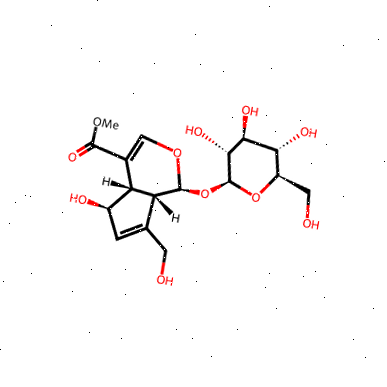 COC(=O)C1=CO[C@@H](O[C@@H]2O[C@H](CO)[C@@H](O)[C@H](O)[C@H]2O)[C@@H]2C(CO)=C[C@@H](O)[C@H]12